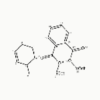 CC1C=CCCC1.CCCCCCCCOC(=O)c1ccccc1C(=O)OCCCCCCCC